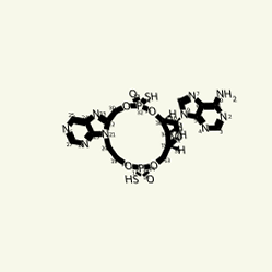 Nc1ncnc2c1ncn2[C@@H]1O[C@@H]2COP(=O)(S)OCCn3c(nc4cncnc43)COP(=O)(S)O[C@@H]1[C@@H]2O